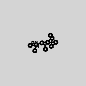 c1ccc(-c2nc(-c3ccc4c5cc6c(cc5n(-c5ccccc5)c4c3)C3(c4ccccc4-c4ccccc43)c3ccc4ccccc4c3-6)nc3oc4ccccc4c23)cc1